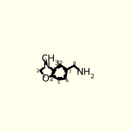 CN1COc2ccc(CN)cc21